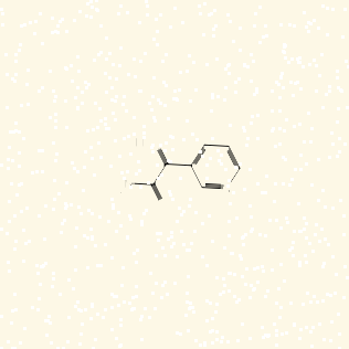 C=C(C(N)=O)c1cccnc1